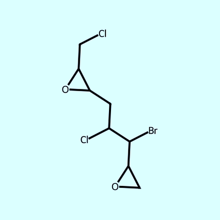 ClCC1OC1CC(Cl)C(Br)C1CO1